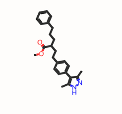 COC(=O)C(CCCc1ccccc1)CCc1ccc(-c2c(C)n[nH]c2C)cc1